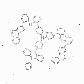 c1ccc(-c2c3ccccc3c(-c3ccc(-n4c5ccc(-c6cccc7c6oc6c(-c8ccc9c(ccc%10ccccc%109)c8)cccc67)cc5c5cc(-c6cccc7c6oc6c(-c8ccc9c(ccc%10ccccc%109)c8)cccc67)ccc54)cc3)c3ccccc23)cc1